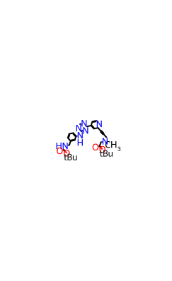 CN(CC#Cc1cc(-c2ncnc(Nc3cccc(CNC(=O)OC(C)(C)C)c3)n2)ccn1)CC(=O)OC(C)(C)C